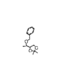 C[C@@H](OCc1ccccc1)C1COC(C)(C)O1